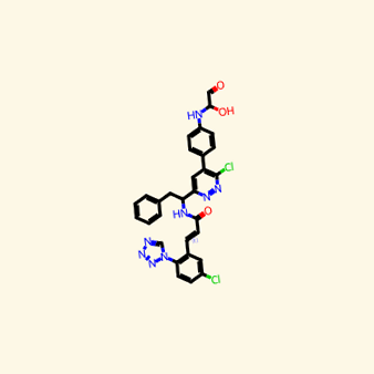 O=CC(O)Nc1ccc(-c2cc(C(Cc3ccccc3)NC(=O)/C=C/c3cc(Cl)ccc3-n3cnnn3)nnc2Cl)cc1